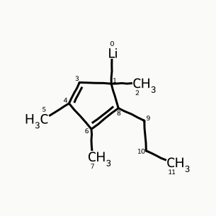 [Li][C]1(C)C=C(C)C(C)=C1CCC